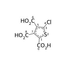 O=C(O)c1sc(Cl)c(C(=O)O)c1C(=O)O